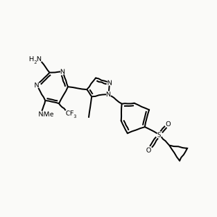 CNc1nc(N)nc(-c2cnn(-c3ccc(S(=O)(=O)C4CC4)cc3)c2C)c1C(F)(F)F